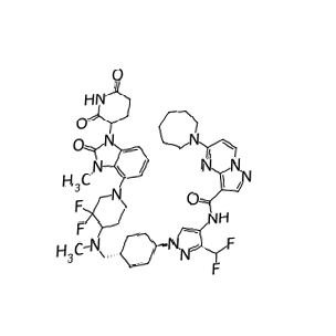 CN(C[C@H]1CC[C@H](n2cc(NC(=O)c3cnn4ccc(N5CCCCCC5)nc34)c(C(F)F)n2)CC1)C1CCN(c2cccc3c2n(C)c(=O)n3C2CCC(=O)NC2=O)CC1(F)F